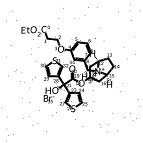 CCOC(=O)CCOc1cccc(C[N+]2(C)[C@@H]3CC[C@H]2CC(OC(=O)C(O)(c2ccsc2)c2ccsc2)C3)c1.[Br-]